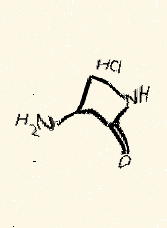 Cl.NC1CNC1=O